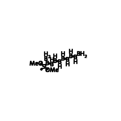 BBBBBBBBB(B)[Si](C)(OC)OC